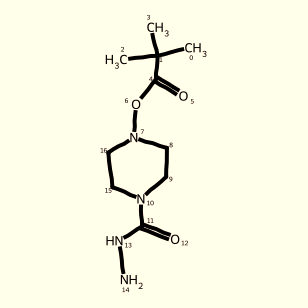 CC(C)(C)C(=O)ON1CCN(C(=O)NN)CC1